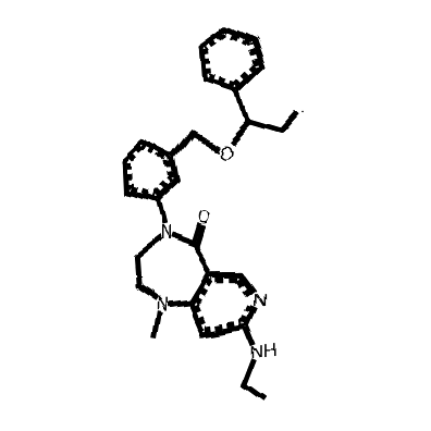 [CH2]CC(OCc1cccc(N2CCN(C)c3cc(NCC)ncc3C2=O)c1)c1ccccc1